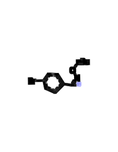 CCCCO/N=[C]\c1ccc(Br)cc1